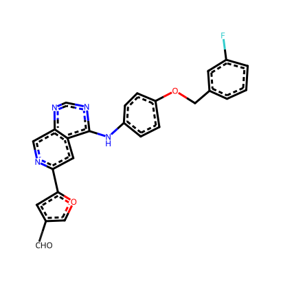 O=Cc1coc(-c2cc3c(Nc4ccc(OCc5cccc(F)c5)cc4)ncnc3cn2)c1